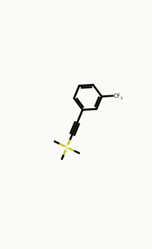 CS(C)(C)C#Cc1cccc(C(F)(F)F)c1